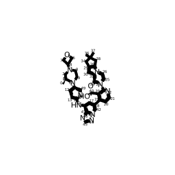 C[C@H]1CN(C2COC2)CCN1c1ccc(Nc2cc(-c3ccnc(-n4ccn5c6c(cc5c4=O)CC(C)(C)C6)c3CO)cn3ncnc23)nc1